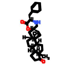 C[C@]12CC[C@]3(CN[C@@H](Cc4ccccc4)C(=O)O3)C[C@@H]1CC[C@@H]1[C@@H]2CC[C@]2(C)C(=O)CC[C@@H]12